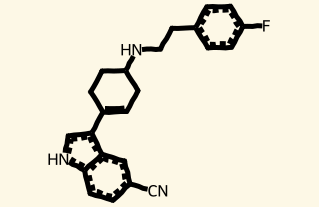 N#Cc1ccc2[nH]cc(C3=CCC(NCCc4ccc(F)cc4)CC3)c2c1